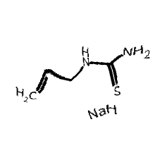 C=CCNC(N)=S.[NaH]